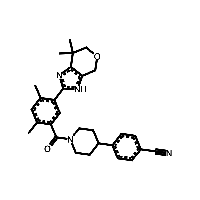 Cc1cc(C)c(-c2nc3c([nH]2)COCC3(C)C)cc1C(=O)N1CCC(c2ccc(C#N)cc2)CC1